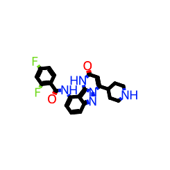 O=C(Nc1cccc2nn3c(C4CCNCC4)cc(=O)[nH]c3c12)c1ccc(F)cc1F